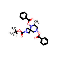 C[C@@H]1CN(OC(=O)c2ccccc2)CC2(CN(C(=O)OC(C)(C)C)C2)N1OC(=O)c1ccccc1